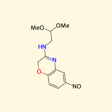 COC(CNC1=Nc2cc(N=O)ccc2OC1)OC